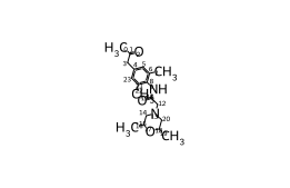 CC(=O)Cc1cc(C)c(NC(=O)CN2CC(C)OC(C)C2)c(C)c1